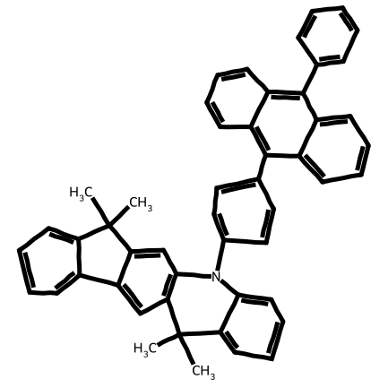 CC1(C)c2ccccc2-c2cc3c(cc21)N(c1ccc(-c2c4ccccc4c(-c4ccccc4)c4ccccc24)cc1)c1ccccc1C3(C)C